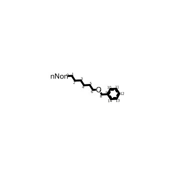 CCCCCCCCCCCCCCCOCc1ccccc1